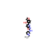 CCN1CCC[C@@H](Nc2nc3nc(-c4ccc5c(c4O)CCO5)ccc3o2)C1